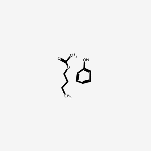 CCCCOC(C)=O.Oc1ccccc1